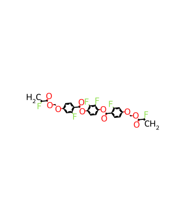 C=C(F)C(=O)OCOc1ccc(C(=O)Oc2ccc(OC(=O)c3ccc(OCOC(=O)C(=C)F)cc3F)c(F)c2F)c(F)c1